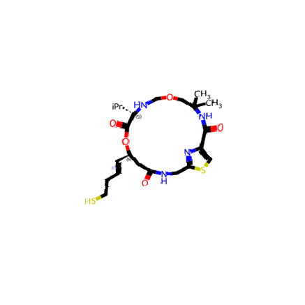 CC(C)[C@@H]1NCOCC(C)(C)NC(=O)c2csc(n2)CNC(=O)C[C@@H](/C=C/CCS)OC1=O